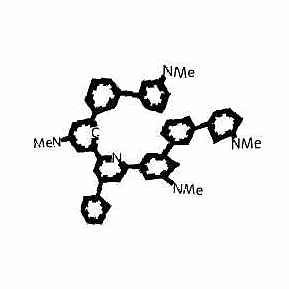 CNc1cccc(-c2cccc(-c3cc(NC)cc(-c4cc(-c5ccccc5)cc(-c5cc(NC)cc(-c6cccc(-c7cccc(NC)c7)c6)c5)n4)c3)c2)c1